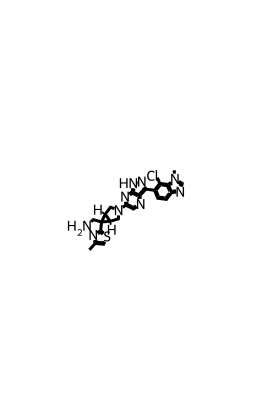 Cc1csc(C2(CN)[C@@H]3CN(c4cnc5c(-c6ccc7ncn(C)c7c6Cl)n[nH]c5n4)C[C@@H]32)n1